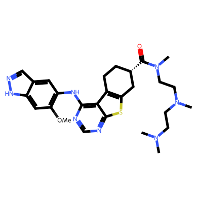 COc1cc2[nH]ncc2cc1Nc1ncnc2sc3c(c12)CC[C@H](C(=O)N(C)CCN(C)CCN(C)C)C3